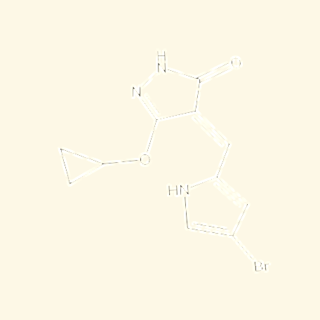 O=C1NN=C(OC2CC2)C1=Cc1cc(Br)c[nH]1